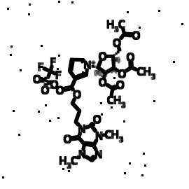 CC(=O)OC[C@H]1O[C@@H]([n+]2cccc(C(=O)OCCCn3c(=O)c4c(ncn4C)n(C)c3=O)c2)[C@H](OC(C)=O)[C@@H]1OC(C)=O.O=S(=O)([O-])C(F)(F)F